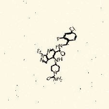 CCn1ncc2c(NC3CCN(C(N)=O)CC3)c(C(=O)NCc3ccc(Cl)cc3F)cnc21